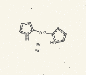 [Br-].[Br-].c1c[nH][c]([Zr+2][c]2ccc[nH]2)c1